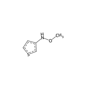 CONc1ccsc1